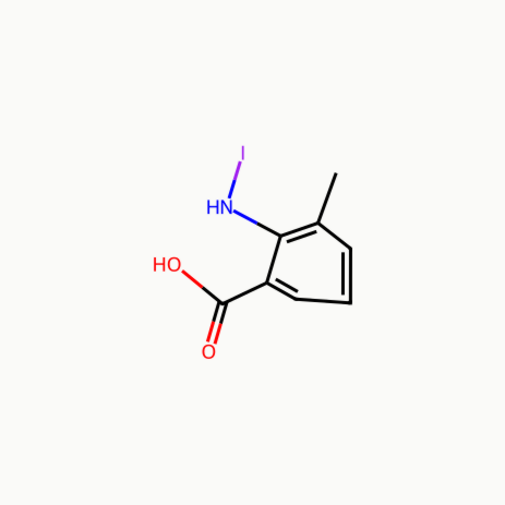 Cc1cccc(C(=O)O)c1NI